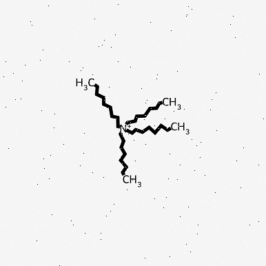 CCCCCCCCC[N+](CCCCCCCC)(CCCCCCCC)CCCCCCCC